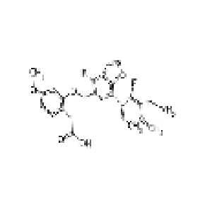 C=N/C(CN)=C(F)\C(=C/C)c1cc(COc2cc(OC)ccc2CC(=O)O)c(F)c2ccoc12